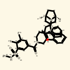 Cc1nc2ccccc2n1C1C[C@H]2CC[C@@H](C1)N2CCC1(c2ccccc2)CCN(C(=O)c2cc(F)c(F)c(S(=O)(=O)NC(C)C)c2)CC1